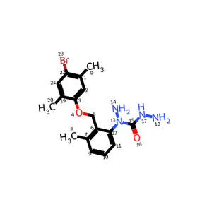 Cc1cc(OCc2c(C)cccc2N(N)C(=O)NN)c(C)cc1Br